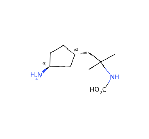 CC(C)(C[C@H]1CC[C@H](N)C1)NC(=O)O